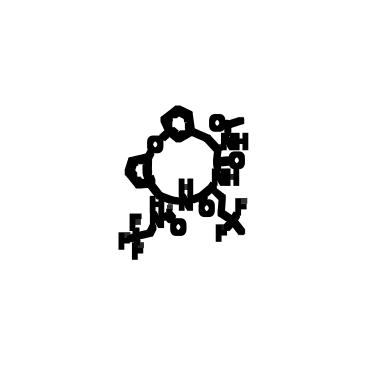 CC(=O)N[C@H]1Cc2cccc(c2)Oc2cccc(c2)C[C@@H](C(=O)NCC(F)(F)F)NC(=O)[C@H](CCC(C)(F)F)NC1=O